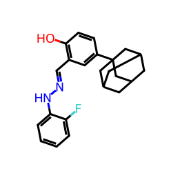 Oc1ccc(C23CC4CC(CC(C4)C2)C3)cc1C=NNc1ccccc1F